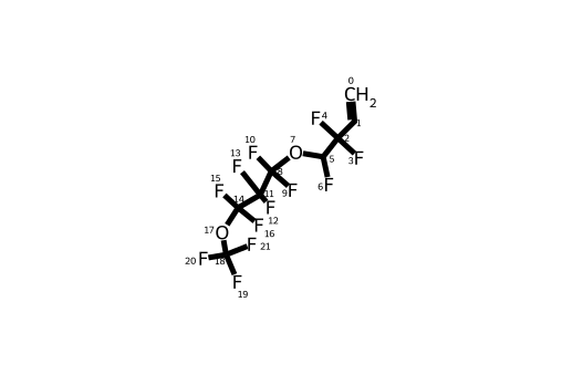 C=CC(F)(F)C(F)OC(F)(F)C(F)(F)C(F)(F)OC(F)(F)F